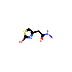 O=C(Cc1csc(Br)n1)NI